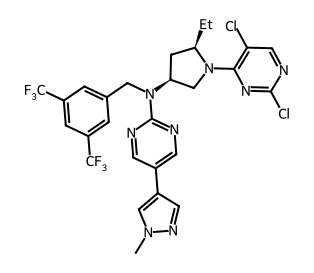 CC[C@@H]1C[C@H](N(Cc2cc(C(F)(F)F)cc(C(F)(F)F)c2)c2ncc(-c3cnn(C)c3)cn2)CN1c1nc(Cl)ncc1Cl